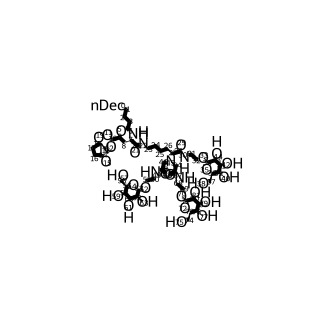 CCCCCCCCCCCCCC(=O)N[C@@H](CCC(=O)ON1C(=O)CCC1=O)C(=O)NCCCC[C@@H](C(=O)NCCO[C@H]1O[C@H](CO)[C@@H](O)[C@H](O)[C@@H]1O)N(CC(=O)NCCO[C@H]1O[C@H](CO)[C@@H](O)[C@H](O)[C@@H]1O)CC(=O)NCCO[C@H]1O[C@H](CO)[C@@H](O)[C@H](O)[C@@H]1O